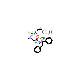 CN(C)CC(=O)NC(Cc1ccccc1)(c1ccccc1)C(F)(F)F.O=C(O)/C=C\C(=O)O